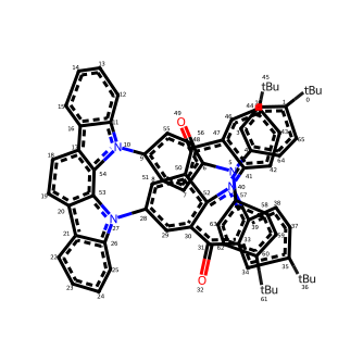 CC(C)(C)c1ccc(N(c2ccc(-n3c4ccccc4c4ccc5c6ccccc6n(-c6cc7c(=O)c8cc(C(C)(C)C)ccc8n8c9ccc(C(C)(C)C)cc9c(=O)c(c6)c78)c5c43)cc2)c2ccc(C(C)(C)C)cc2)cc1